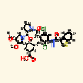 CO[C@H]1CN(C(O[C@H]2CC[C@H](C(=O)O)CC2)[C@@H]2CCCN2C(=O)Cc2cc(Cl)c(NC(=O)c3csc4ccccc34)cc2Cl)C[C@H]1OC